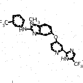 Cn1c(Nc2cccc(C(F)(F)F)c2)nc2cc(Oc3ccnc(-c4ncc(C(F)(F)F)[nH]4)c3)ccc21